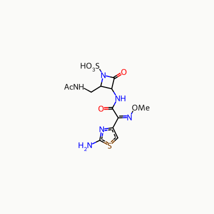 CO/N=C(\C(=O)NC1C(=O)N(S(=O)(=O)O)C1CNC(C)=O)c1csc(N)n1